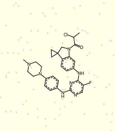 CC(Cl)C(=O)N1CC2(CC2)c2ccc(Nc3nc(Nc4ccc(N5CCN(C)CC5)cc4)ncc3F)cc21